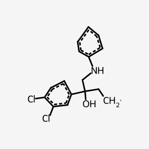 [CH2]CC(O)(CNc1ccccc1)c1ccc(Cl)c(Cl)c1